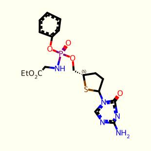 CCOC(=O)CNP(=O)(OC[C@@H]1CCC(n2cnc(N)nc2=O)S1)Oc1ccccc1